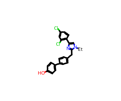 CCn1cc(-c2ccc(Cl)cc2Cl)nc1Cc1ccc(-c2ccc(O)cc2)cc1